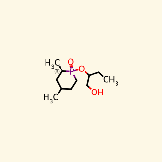 CCC(CO)OP1(=O)CCC(C)C[C@H]1C